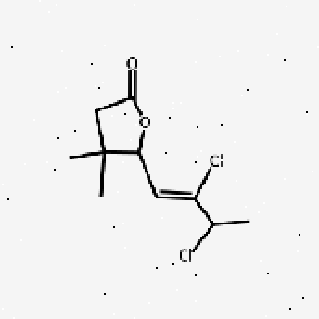 CC(Cl)C(Cl)=CC1OC(=O)CC1(C)C